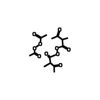 CC(=O)C(C)C(=O)OOC(=O)C(C)C(C)=O.CC(=O)OOC(C)=O